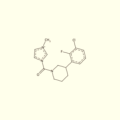 C[n+]1ccn(C(=O)N2CCCC(c3cccc(Cl)c3F)C2)c1